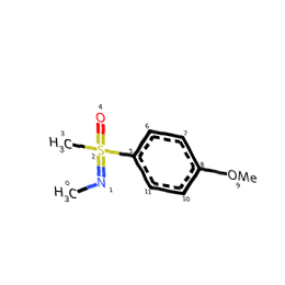 CN=S(C)(=O)c1ccc(OC)cc1